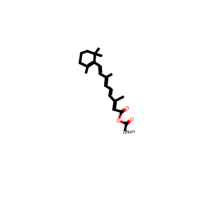 CCCCCCCCCC(=O)OC(=O)/C=C(C)/C=C/C=C(C)/C=C/C1=C(C)CCCC1(C)C